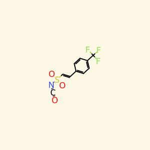 O=C=NS(=O)(=O)/C=C/c1ccc(C(F)(F)F)cc1